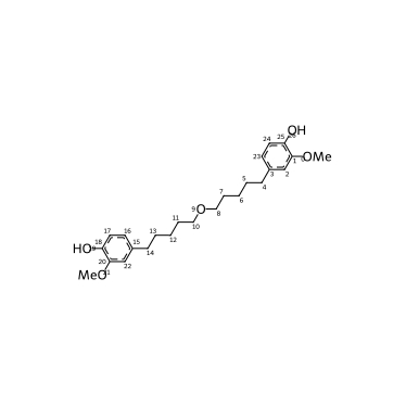 COc1cc(CCCCCOCCCCCc2ccc(O)c(OC)c2)ccc1O